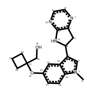 Cn1cc(C2Cc3nccnc3N2)c2cc(OC3(CO)CCC3)ccc21